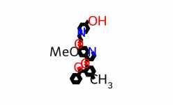 COc1cc2c(Oc3ccc(C)cc3C(=O)c3ccccc3)ccnc2cc1OCCN1CCC(CO)CC1